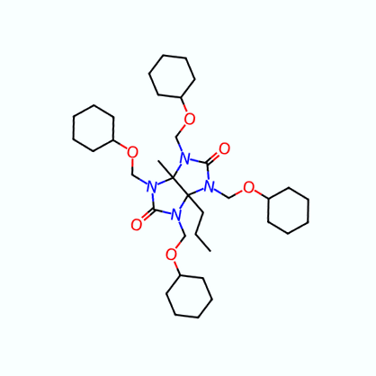 CCCC12N(COC3CCCCC3)C(=O)N(COC3CCCCC3)C1(C)N(COC1CCCCC1)C(=O)N2COC1CCCCC1